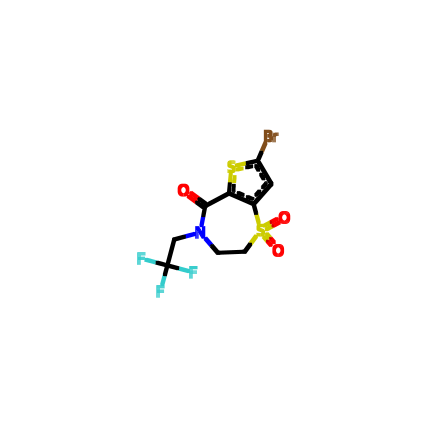 O=C1c2sc(Br)cc2S(=O)(=O)CCN1CC(F)(F)F